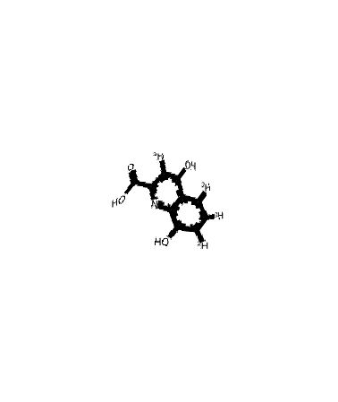 [2H]c1c([2H])c([2H])c2c(O)c([2H])c(C(=O)O)nc2c1O